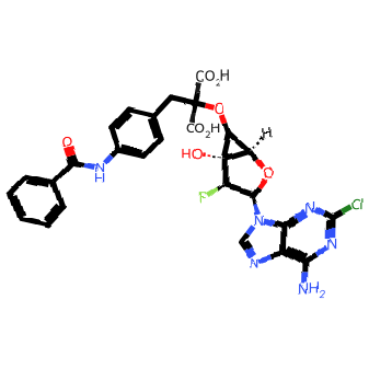 Nc1nc(Cl)nc2c1ncn2[C@@H]1O[C@@H]2C(OC(Cc3ccc(NC(=O)c4ccccc4)cc3)(C(=O)O)C(=O)O)[C@]2(O)[C@@H]1F